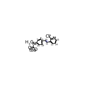 CN(C(=O)OC(C)(C)C)c1ccc(/C=C/c2cccnc2Cl)cc1